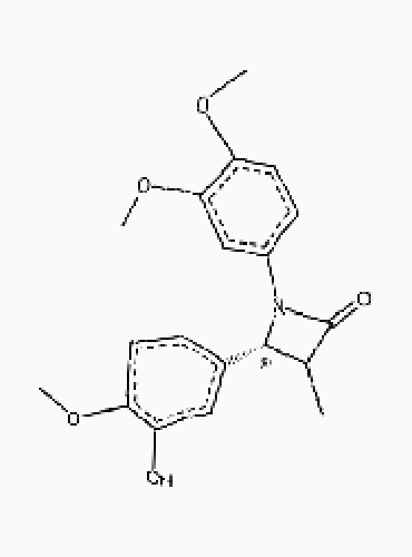 COc1ccc([C@H]2C(C)C(=O)N2c2ccc(OC)c(OC)c2)cc1O